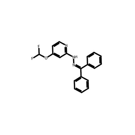 FC(F)Oc1ccnc(NN=C(c2ccccc2)c2ccccc2)c1